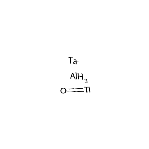 [AlH3].[O]=[Ti].[Ta]